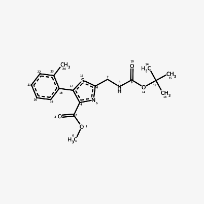 COC(=O)c1nc(CNC(=O)OC(C)(C)C)sc1-c1ccccc1C